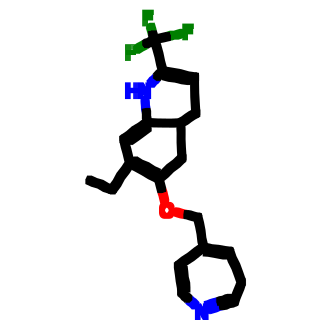 CCC1=C(OCC2=CCC=NC=C2)CC2CC=C(C(F)(F)F)NC2=C1